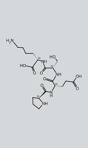 NCCCC[C@H](NC(=O)[C@H](CO)NC(=O)[C@H](CCC(=O)O)NC(=O)[C@@H]1CCCN1)C(=O)O